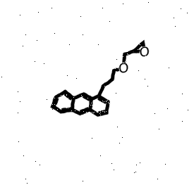 c1ccc2cc3c(CCCOCC4CO4)cccc3cc2c1